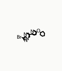 Brc1cnn2cc(-c3ccc(OC4CCCCC4)cn3)cnc12